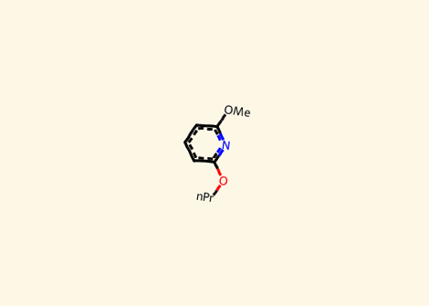 CCCOc1cccc(OC)n1